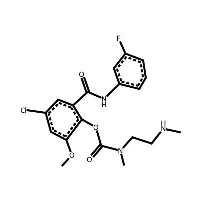 CNCCN(C)C(=O)Oc1c(OC)cc(Cl)cc1C(=O)Nc1cccc(F)c1